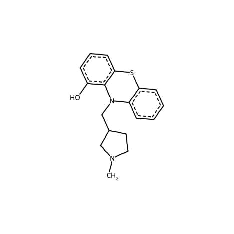 CN1CCC(CN2c3ccccc3Sc3cccc(O)c32)C1